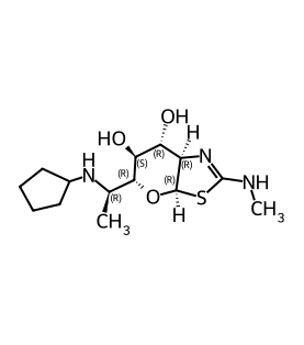 CNC1=N[C@@H]2[C@@H](O)[C@H](O)[C@@H]([C@@H](C)NC3CCCC3)O[C@@H]2S1